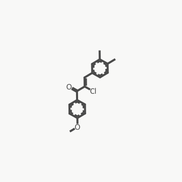 COc1ccc(C(=O)/C(Cl)=C/c2ccc(C)c(C)c2)cc1